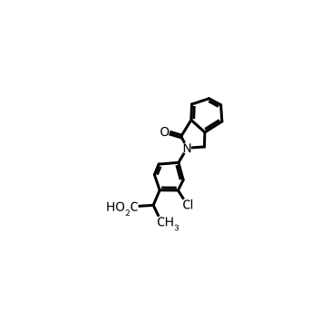 CC(C(=O)O)c1ccc(N2Cc3ccccc3C2=O)cc1Cl